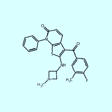 Cc1cc(C(=O)c2c(NC3CN(C)C3)sc3c2ccc(=O)n3-c2ccccc2)ccc1F